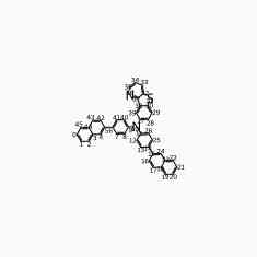 c1ccc2cc(-c3ccc(N(c4ccc(-c5ccc6ccccc6c5)cc4)c4ccc5sc6cccnc6c5c4)cc3)ccc2c1